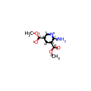 COC(=O)c1cnc(N)c(C(=O)OC)c1